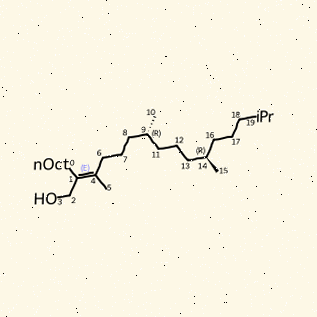 CCCCCCCC/C(CO)=C(/C)CCC[C@H](C)CCC[C@H](C)CCCC(C)C